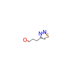 O=CCCc1csnn1